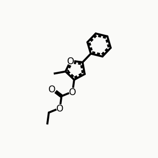 CCOC(=O)Oc1cc(-c2ccccc2)oc1C